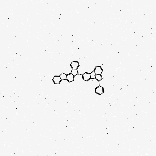 c1ccc(-c2nc3cccc4c5cc(-n6c7ccccc7c7c8sc9ccccc9c8ccc76)ccc5c2n34)cc1